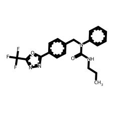 CCCNC(=O)N(Cc1ccc(-c2nnc(C(F)(F)F)o2)cc1)c1ccccc1